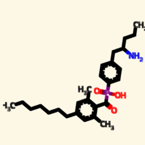 CCCCCCCc1cc(C)c(C(=O)P(=O)(O)c2ccc(CC(N)CCC)cc2)c(C)c1